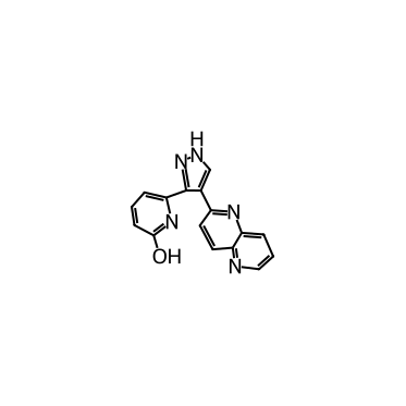 Oc1cccc(-c2n[nH]cc2-c2ccc3ncccc3n2)n1